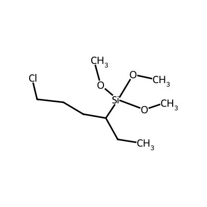 CCC(CCCCl)[Si](OC)(OC)OC